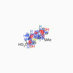 CSCC[C@H](NC(=O)CNC(=O)[C@H](C)NC(=O)[C@@H]1CCCN1C(=O)[C@H](CO)NC(=O)[C@H](Cc1ccccc1)NC(=O)[C@H](Cc1c[nH]c2ccccc12)NC(=O)[C@@H](N)CCSC)C(=O)NCC(=O)N[C@@H](Cc1c[nH]cn1)C(=O)N[C@@H](CC(C)C)C(=O)N[C@@H](CS)C(=O)N[C@H](C(=O)N[C@H](C(=O)N[C@@H](CCCCN)C(=O)O)[C@@H](C)O)C(C)C